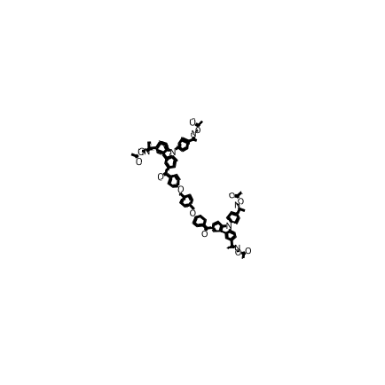 CC(=O)ON=C(C)c1ccc(-n2c3ccc(C(=O)c4ccc(OCc5ccc(COc6ccc(C(=O)c7ccc8c(c7)c7cc(C(C)=NOC(C)=O)ccc7n8-c7ccc(C(C)=NOC(C)=O)cc7)cc6)cc5)cc4)cc3c3cc(C(C)=NOC(C)=O)ccc32)cc1